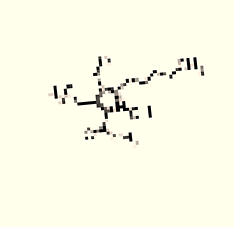 CCCCCc1c(C=O)c(CC)c(C(C)=O)n1O